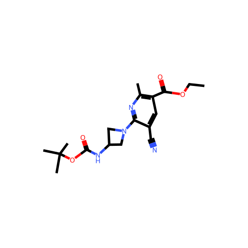 CCOC(=O)c1cc(C#N)c(N2CC(NC(=O)OC(C)(C)C)C2)nc1C